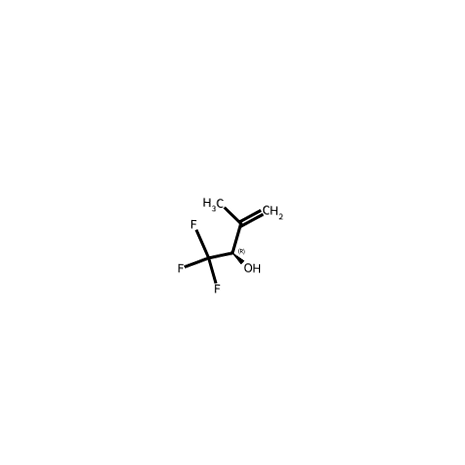 C=C(C)[C@@H](O)C(F)(F)F